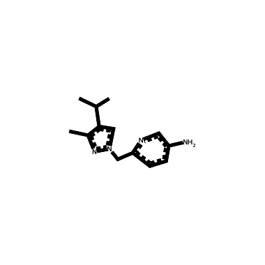 Cc1nn(Cc2ccc(N)cn2)cc1C(C)C